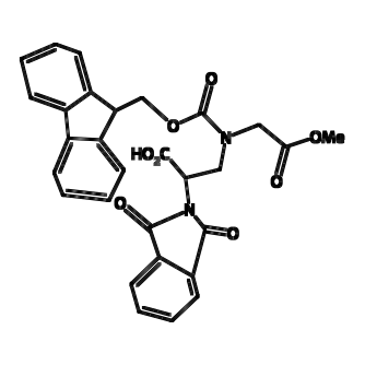 COC(=O)CN(CC(C(=O)O)N1C(=O)c2ccccc2C1=O)C(=O)OCC1c2ccccc2-c2ccccc21